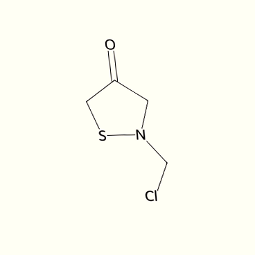 O=C1CSN(CCl)C1